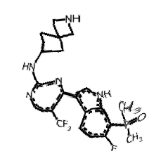 CP(C)(=O)c1c(F)ccc2c(-c3nc(NC4CC5(CNC5)C4)ncc3C(F)(F)F)c[nH]c12